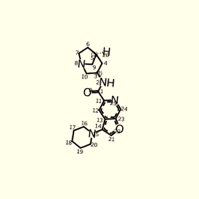 O=C(N[C@@H]1C[C@@H]2CCN(C2)C1)c1cc2c(N3CCCCC3)coc2cn1